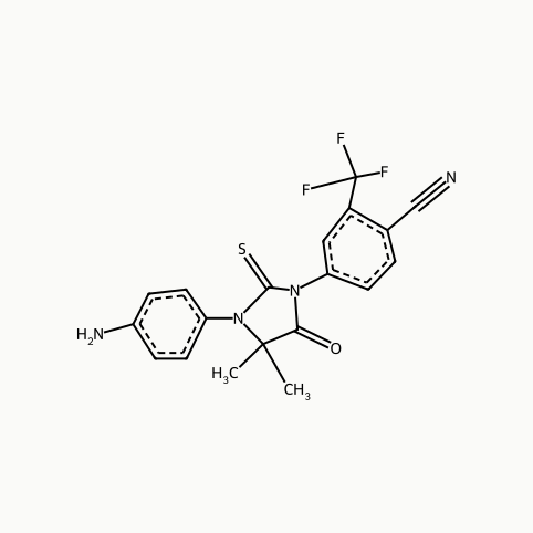 CC1(C)C(=O)N(c2ccc(C#N)c(C(F)(F)F)c2)C(=S)N1c1ccc(N)cc1